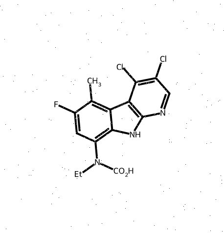 CCN(C(=O)O)c1cc(F)c(C)c2c1[nH]c1ncc(Cl)c(Cl)c12